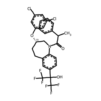 CC(C(=O)N1C[C@@H](Oc2cc(Cl)cc(Cl)c2)CCc2cc(C(O)(C(F)(F)F)C(F)(F)F)ccc21)c1ccccc1